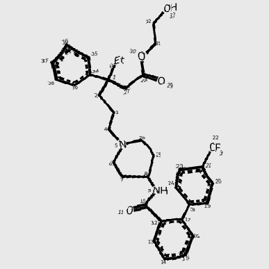 CCC(CCCN1CCC(NC(=O)c2ccccc2-c2ccc(C(F)(F)F)cc2)CC1)(CC(=O)OCCO)c1ccccc1